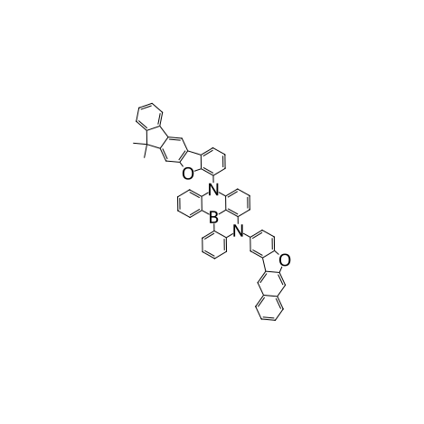 CC1(C)c2ccccc2-c2cc3c(cc21)oc1c(N2c4ccccc4B4c5ccccc5N(c5ccc6oc7cc8ccccc8cc7c6c5)c5cccc2c54)cccc13